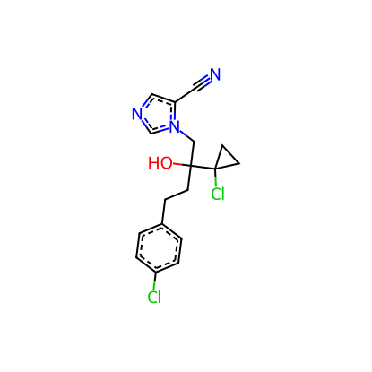 N#Cc1cncn1CC(O)(CCc1ccc(Cl)cc1)C1(Cl)CC1